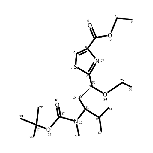 CCOC(=O)c1csc([C@@H](CC(C(C)C)N(C)C(=O)OC(C)(C)C)OCC)n1